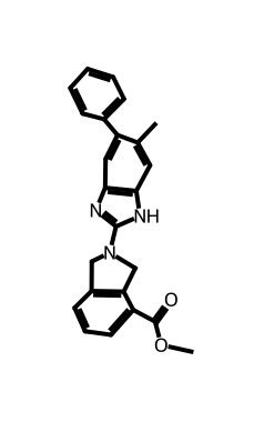 COC(=O)c1cccc2c1CN(c1nc3cc(-c4ccccc4)c(C)cc3[nH]1)C2